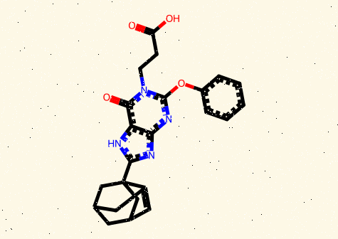 O=C(O)CCn1c(Oc2ccccc2)nc2nc(C34CC5C=C3CC(C5)C4)[nH]c2c1=O